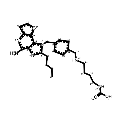 CCCCc1nc2c(N)nc3ccsc3c2n1Cc1ccc(CNCCCCNC(=O)O)cc1